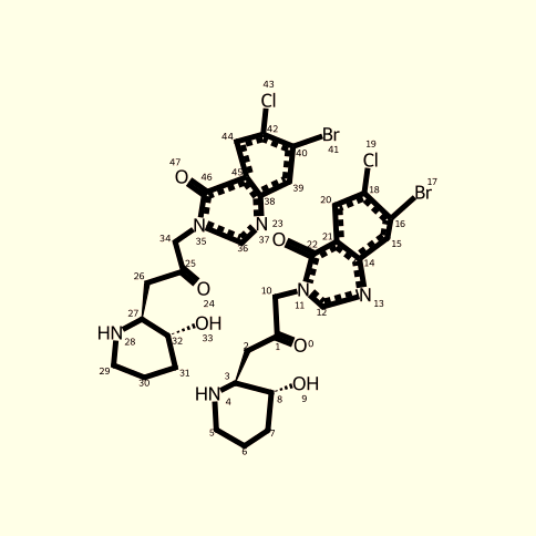 O=C(C[C@@H]1NCCC[C@H]1O)Cn1cnc2cc(Br)c(Cl)cc2c1=O.O=C(C[C@@H]1NCCC[C@H]1O)Cn1cnc2cc(Br)c(Cl)cc2c1=O